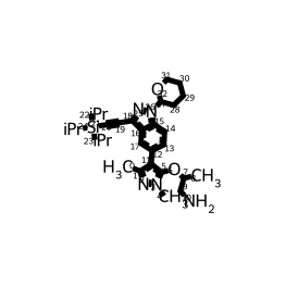 Cc1nn(C)c(OC(C)CN)c1-c1ccc2c(c1)c(C#C[Si](C(C)C)(C(C)C)C(C)C)nn2C1CCCCO1